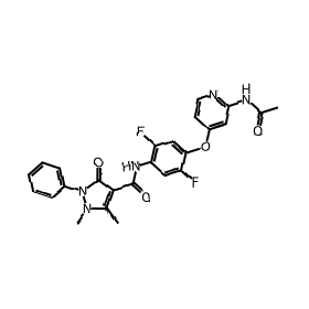 CC(=O)Nc1cc(Oc2cc(F)c(NC(=O)c3c(C)n(C)n(-c4ccccc4)c3=O)cc2F)ccn1